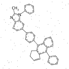 Cc1nc2ccc(-c3ccc(-c4c5c(c(-c6ccccc6)c6ccccc46)C=CCC5)cc3)cc2n1-c1ccccc1